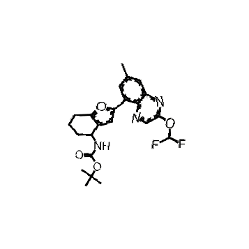 Cc1cc(-c2cc3c(o2)CCCC3NC(=O)OC(C)(C)C)c2ncc(OC(F)F)nc2c1